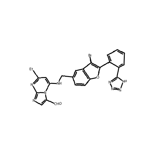 CCc1cc(NCc2ccc3oc(-c4ccccc4-c4nnn[nH]4)c(Br)c3c2)n2c(C=O)cnc2n1